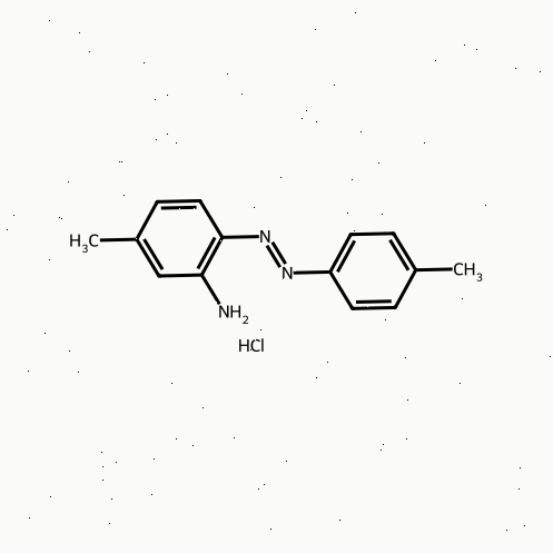 Cc1ccc(N=Nc2ccc(C)cc2N)cc1.Cl